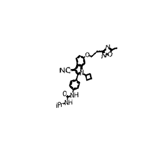 Cc1nc(CCOc2ccc3c(C#N)c(-c4ccc(NC(=O)NC(C)C)cc4)n(C4CCC4)c3c2)no1